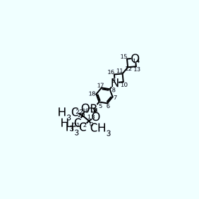 CC1(C)OB(c2ccc(N3CC(C4COC4)C3)cc2)OC1(C)C